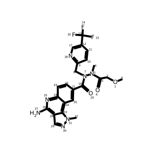 COCC(=O)N(C)N(Cc1ccc(C(F)(F)F)cn1)C(=O)c1ccc2nc(N)c3cnn(C)c3c2c1